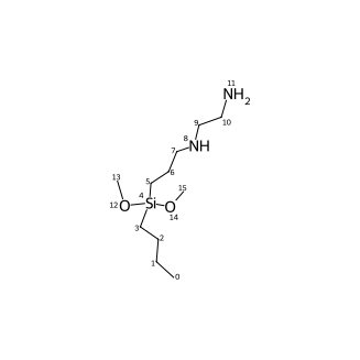 CCCC[Si](CCCNCCN)(OC)OC